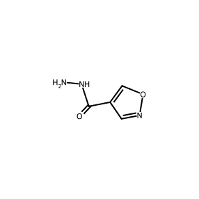 NNC(=O)c1cnoc1